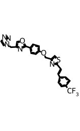 FC(F)(F)c1ccc(C=Cc2nc(COc3ccc(-c4nc(Cn5ccnn5)co4)cc3)cs2)cc1